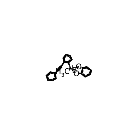 CN(B1Oc2ccccc2O1)c1ccccc1C#Cc1ccccc1